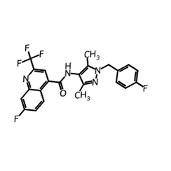 Cc1nn(Cc2ccc(F)cc2)c(C)c1NC(=O)c1cc(C(F)(F)F)nc2cc(F)ccc12